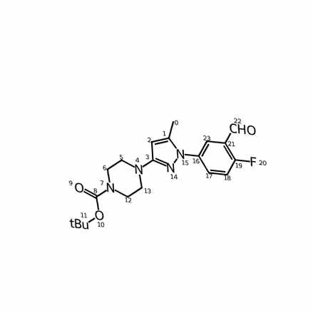 Cc1cc(N2CCN(C(=O)OC(C)(C)C)CC2)nn1-c1ccc(F)c(C=O)c1